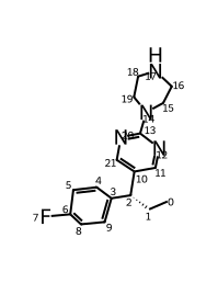 CC[C@H](c1ccc(F)cc1)c1cnc(N2CCNCC2)nc1